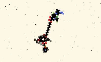 C=C[C@@]1(C)C[C@H](OC(=O)CSC2CC3CCC(C2)N3C)[C@@](C)(C(C)CC)C2C(=O)CCC2(C)[C@H](C)[C@H]1OC(=O)CCCCCCCCCCOC(=O)c1cn(C2C[C@@H]2F)c2c(Cl)c(N3C[C@@H](N)C4(CC4)C3)c(F)cc2c1=O